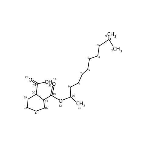 CC(C)CCCCCCCC(C)OC(=O)C1CCCCC1C(=O)O